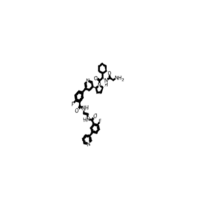 NCC(=O)N[C@H](C(=O)N1CCC[C@H]1C1C=NC=C(c2ccc(F)c(C(=O)NCCNC(=O)c3cc(-c4cccnc4)ccc3F)c2)C1)C1CCCCC1